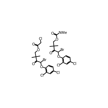 CC(C)(COC(=O)CCl)C(=O)C(Br)Oc1ccc(Cl)cc1Cl.CNC(=O)OCC(C)(C)C(=O)C(Br)Oc1ccc(Cl)cc1Cl